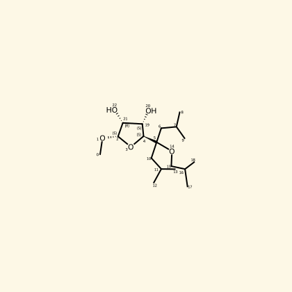 CO[C@H]1O[C@H](C(CC(C)C)(CC(C)C)OCC(C)C)[C@@H](O)[C@H]1O